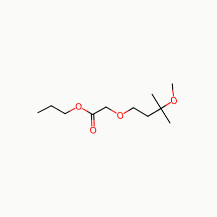 CCCOC(=O)COCCC(C)(C)OC